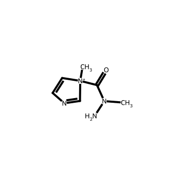 CN(N)C(=O)[N+]1(C)C=CN=C1